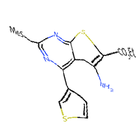 CCOC(=O)c1sc2nc(SC)nc(-c3ccsc3)c2c1N